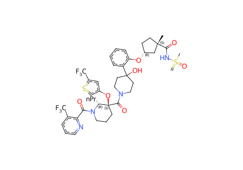 C=S(C)(=O)NC(=O)[C@@]1(C)CC[C@@H](Oc2ccccc2C2(O)CCN(C(=O)[C@]3(Oc4csc(C(F)(F)F)c4)CCCN(C(=O)c4ncccc4C(F)(F)F)[C@@H]3CCC)CC2)C1